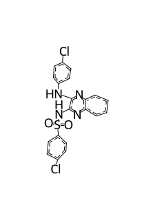 O=S(=O)(Nc1nc2ccccc2nc1Nc1ccc(Cl)cc1)c1ccc(Cl)cc1